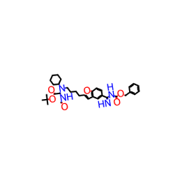 CC(C)(C)OC(=O)C(NC=O)N(CCCCc1cc2cc(C(=N)NC(=O)OCc3ccccc3)ccc2o1)C1CCCCC1